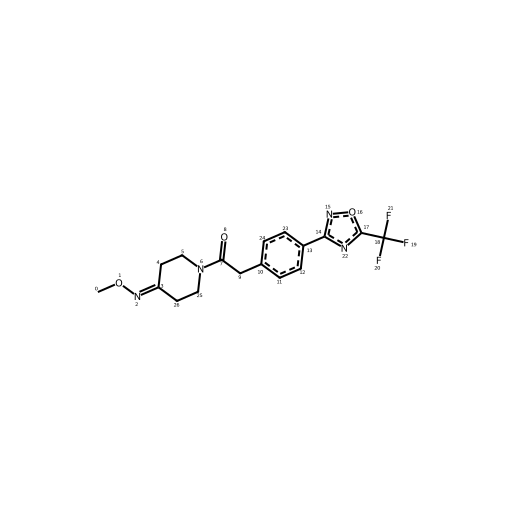 CON=C1CCN(C(=O)Cc2ccc(-c3noc(C(F)(F)F)n3)cc2)CC1